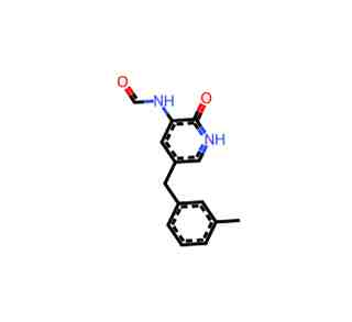 Cc1cccc(Cc2c[nH]c(=O)c(NC=O)c2)c1